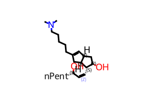 CCCCC[C@H](O)/C=C\[C@@H]1[C@H]2CC(CCCCCN(C)C)=C[C@H]2C[C@H]1O